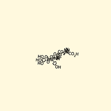 O=C(O)Cn1nnnc1SCC1=C(C(=O)O)N2C(=O)[C@@H](NC(=O)C(NC(=O)c3coc4c(O)c(O)c(O)cc4c3=O)c3ccc(O)cc3)[C@@H]2SC1